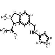 NC(=O)[C@@H]1c2cc(CNc3cc[nH]n3)ccc2C[C@H]1O